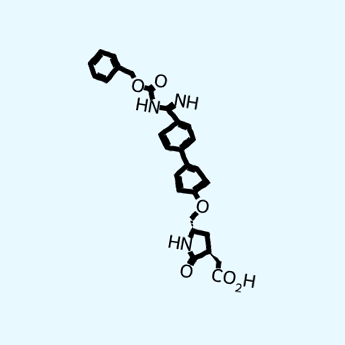 N=C(NC(=O)OCc1ccccc1)c1ccc(-c2ccc(OC[C@@H]3C[C@@H](CC(=O)O)C(=O)N3)cc2)cc1